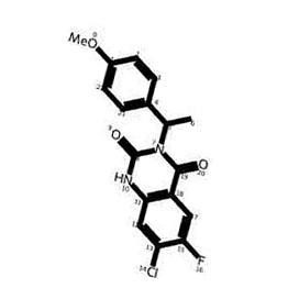 COc1ccc(C(C)n2c(=O)[nH]c3cc(Cl)c(F)cc3c2=O)cc1